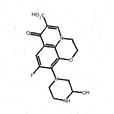 O=C(O)c1cn2c3c(c(N4CCNC(O)C4)c(F)cc3c1=O)OCC2